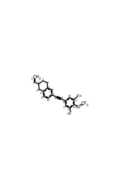 C=CC1CCc2cc(C#Cc3cc(F)c(OC(F)(F)F)c(F)c3)ccc2C1